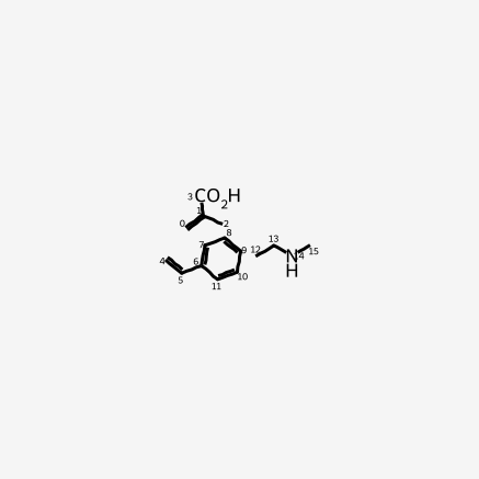 C=C(C)C(=O)O.C=Cc1ccccc1.CCNC